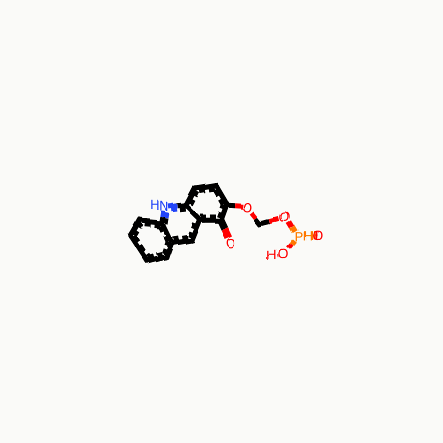 O=c1c(OCO[PH](=O)O)ccc2[nH]c3ccccc3cc1-2